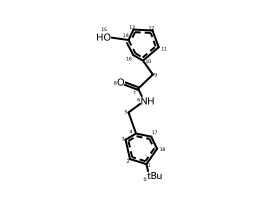 CC(C)(C)c1ccc(CNC(=O)Cc2cccc(O)c2)cc1